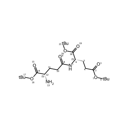 CC(C)(C)OC(=O)CC[C@H](NC(=O)CC[C@H](N)C(=O)OC(C)(C)C)C(=O)OC(C)(C)C